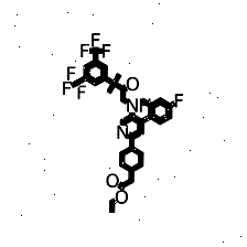 CCOC(=O)CC1CCC(c2cc(-c3ccc(F)cc3C)c(NCC(=O)C(C)(C)c3cc(C(F)(F)F)cc(C(F)(F)F)c3)cn2)CC1